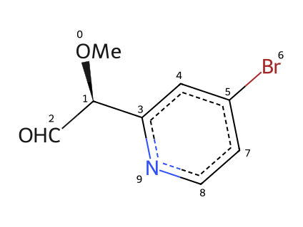 CO[C@H](C=O)c1cc(Br)ccn1